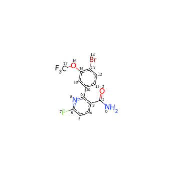 NC(=O)c1ccc(F)nc1-c1ccc(Br)c(OC(F)(F)F)c1